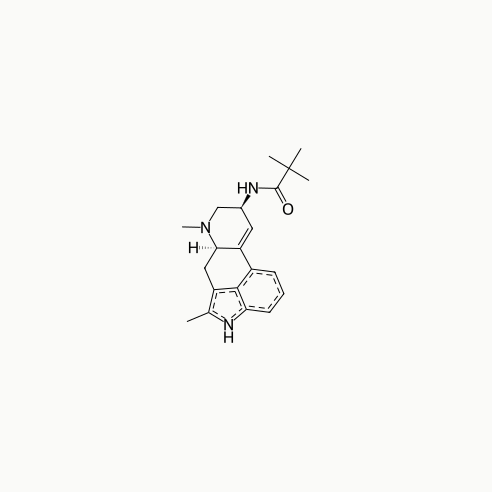 Cc1[nH]c2cccc3c2c1C[C@@H]1C3=C[C@H](NC(=O)C(C)(C)C)CN1C